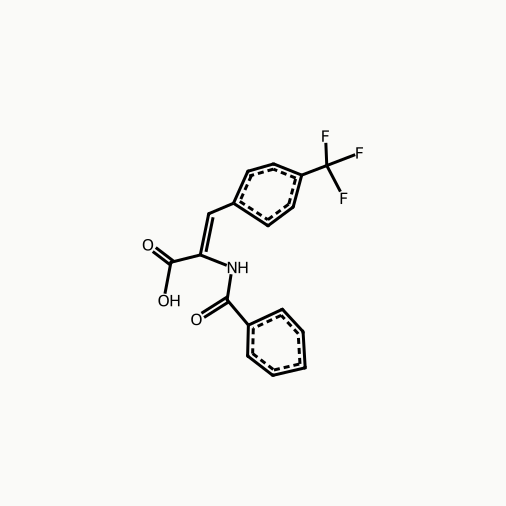 O=C(O)/C(=C/c1ccc(C(F)(F)F)cc1)NC(=O)c1ccccc1